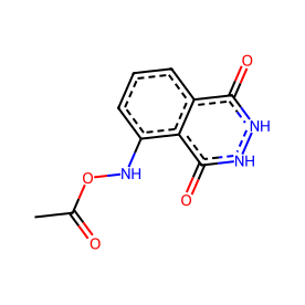 CC(=O)ONc1cccc2c(=O)[nH][nH]c(=O)c12